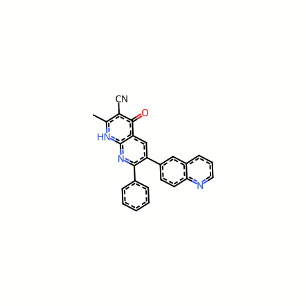 Cc1[nH]c2nc(-c3ccccc3)c(-c3ccc4ncccc4c3)cc2c(=O)c1C#N